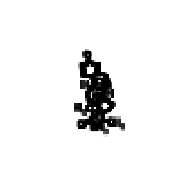 CC(=O)O[C@]1(C(C)=O)CC[C@H]2[C@@H]3C=CC4=CC(=O)C=C[C@]4(C)[C@H]3CC[C@@]21C